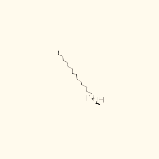 C=CNNCCCCCCCCCCCCCCC